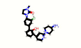 CN1CCN(c2ccc(-c3cccc(-c4ccnc(N5CCC(N)CC5)c4)c3O)cc2Cl)C1=O